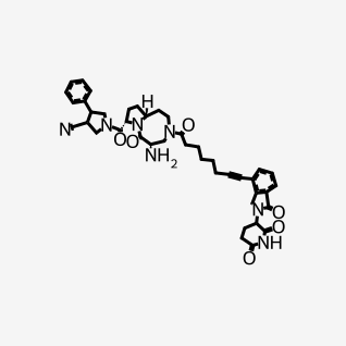 N#CC1CN(C(=O)[C@@H]2CC[C@@H]3CCN(C(=O)CCCCCC#Cc4cccc5c4CN(C4CCC(=O)NC4=O)C5=O)C[C@H](N)C(=O)N32)CC1c1ccccc1